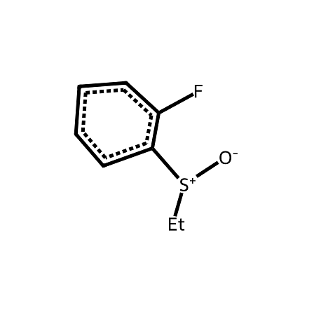 CC[S+]([O-])c1ccccc1F